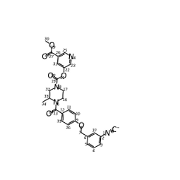 [C-]#[N+]c1cccc(COc2ccc(C(=O)N3CCN(C(=O)Oc4cncc(C(=O)OC)c4)CC3C)cc2)c1